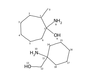 CC1CCCCCC1(N)O.NC1(CO)CCCCC1